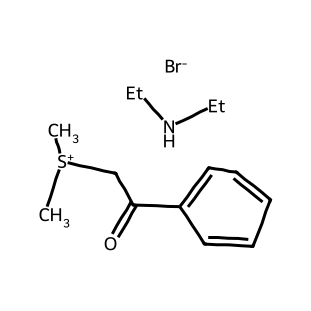 CCNCC.C[S+](C)CC(=O)c1ccccc1.[Br-]